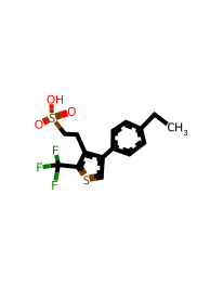 CCc1ccc(-c2csc(C(F)(F)F)c2CCS(=O)(=O)O)cc1